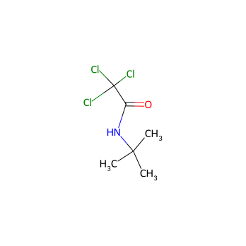 CC(C)(C)NC(=O)C(Cl)(Cl)Cl